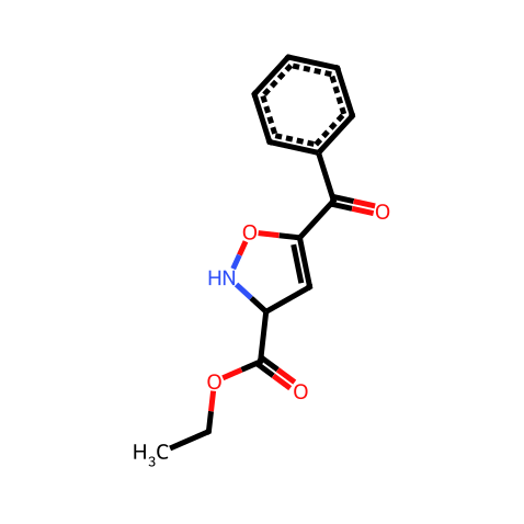 CCOC(=O)C1C=C(C(=O)c2ccccc2)ON1